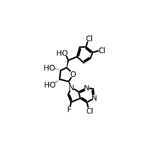 OC(c1ccc(Cl)c(Cl)c1)[C@H]1O[C@@H](n2cc(F)c3c(Cl)ncnc32)[C@H](O)[C@@H]1O